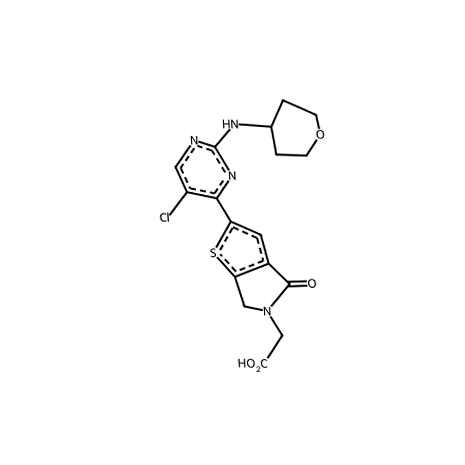 O=C(O)CN1Cc2sc(-c3nc(NC4CCOCC4)ncc3Cl)cc2C1=O